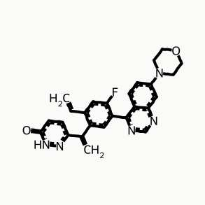 C=Cc1cc(F)c(-c2ncnc3cc(N4CCOCC4)ccc23)cc1C(=C)c1ccc(=O)[nH]n1